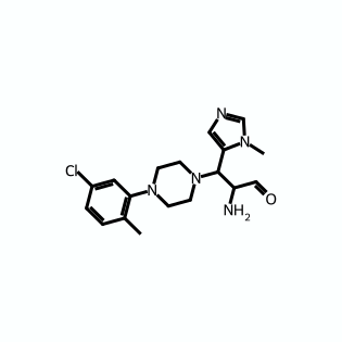 Cc1ccc(Cl)cc1N1CCN(C(c2cncn2C)C(N)C=O)CC1